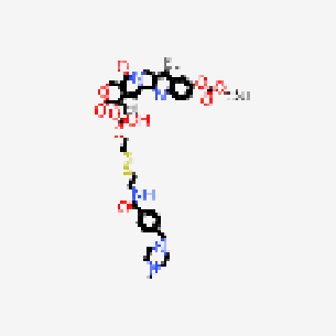 CCc1c2c(nc3ccc(OC(=O)OC(C)(C)C)cc13)-c1cc3c(c(=O)n1C2)COC(=O)[C@@]3(CC)OC(O)OCCSSCCNC(=O)c1ccc(CN2CCN(C)CC2)cc1